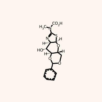 CN(C(=O)O)C1=N[C@@H]2[C@@H](O)[C@@H]3OC(c4ccccc4)OC[C@H]3O[C@@H]2S1